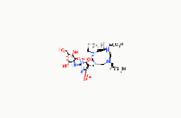 O=C(O)CN1CCN(CC(=O)O)CCN(Cc2c(O)nc(NC3C(O)[C@H](O)C(CO)O[C@H]3O)nc2O)CCN(CC(=O)O)CC1